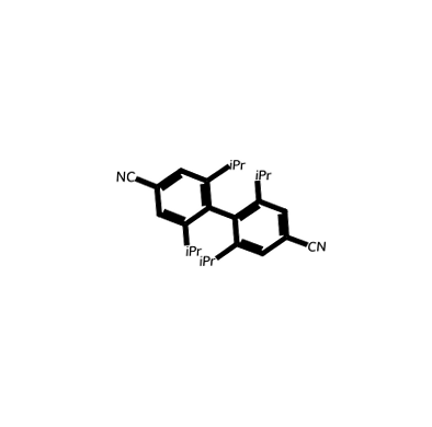 CC(C)c1cc(C#N)cc(C(C)C)c1-c1c(C(C)C)cc(C#N)cc1C(C)C